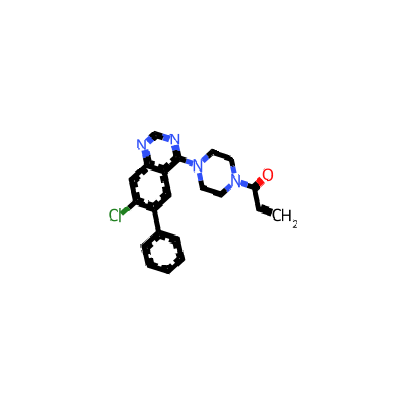 C=CC(=O)N1CCN(c2ncnc3cc(Cl)c(-c4ccccc4)cc23)CC1